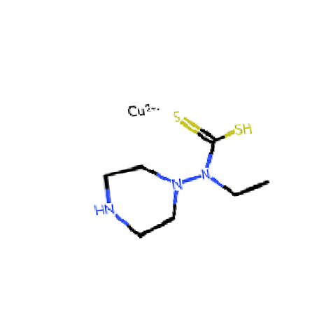 CCN(C(=S)S)N1CCNCC1.[Cu+2]